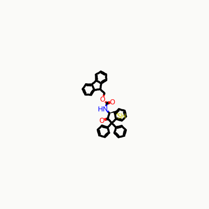 O=C(N[C@@H](CS)C(=O)C(c1ccccc1)(c1ccccc1)c1ccccc1)OCC1c2ccccc2-c2ccccc21